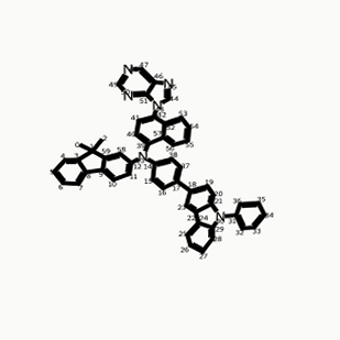 CC1(C)c2ccccc2-c2ccc(N(c3ccc(-c4ccc5c(c4)c4ccccc4n5-c4ccccc4)cc3)c3ccc(-n4cnc5cncnc54)c4ccccc34)cc21